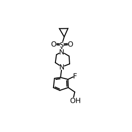 O=S(=O)(C1CC1)N1CCN(c2cccc(CO)c2F)CC1